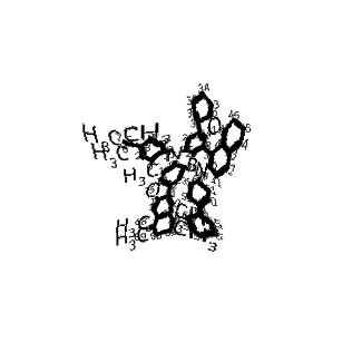 Cc1cc(C(C)(C)C)ccc1N1c2cc3oc4cc5c(cc4c3cc2B2c3c1cc1c(oc4ccccc41)c3-c1c(ccc3ccccc13)N2c1ccc(-c2ccccc2)cc1)C(C)(C)CCC5(C)C